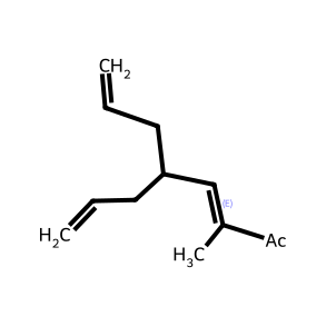 C=CCC(/C=C(\C)C(C)=O)CC=C